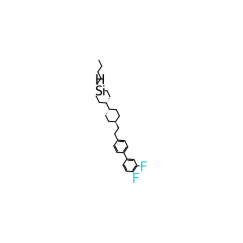 CCCCC[Si@H]1CC[C@H]([C@H]2CC[C@H](CCc3ccc(-c4ccc(F)c(F)c4)cc3)CC2)CC1